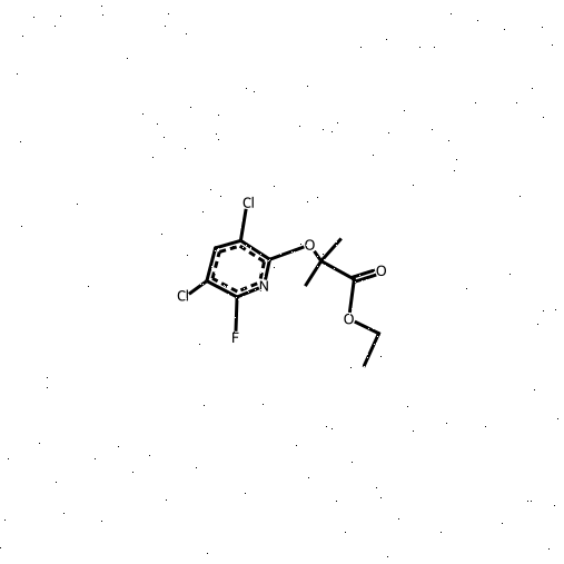 CCOC(=O)C(C)(C)Oc1nc(F)c(Cl)cc1Cl